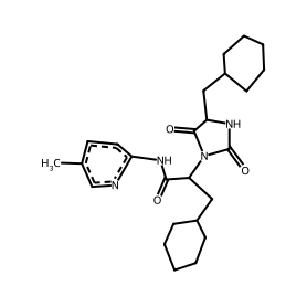 Cc1ccc(NC(=O)C(CC2CCCCC2)N2C(=O)NC(CC3CCCCC3)C2=O)nc1